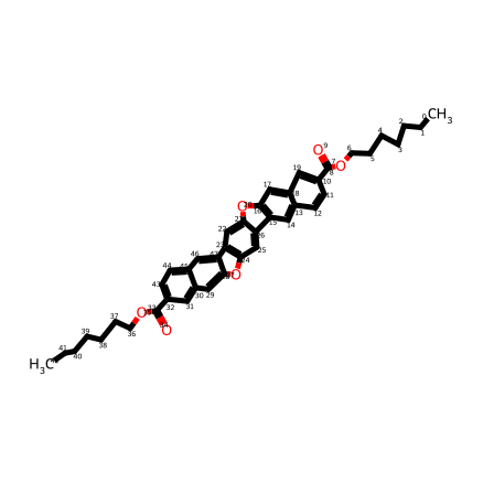 CCCCCCCOC(=O)c1ccc2cc3c(cc2c1)oc1cc2c(cc13)oc1cc3cc(C(=O)OCCCCCCC)ccc3cc12